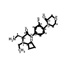 CCN(C1CCC1)[C@@H](CN)C(=O)Nc1ccc(N2CCOCC2=O)c(F)c1